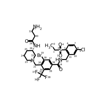 CCS(=O)(=O)c1ccc(Cl)cc1CNC(=O)c1cc(Br)c(CN2CCC[C@H](NC(=O)CCN)C2)c(C(F)(F)F)c1